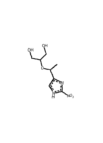 CC(OC(CO)CO)c1c[nH]c([N+](=O)[O-])n1